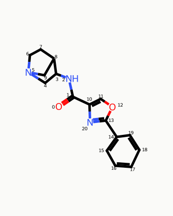 O=C(NC1CN2CCC1C2)c1coc(-c2ccccc2)n1